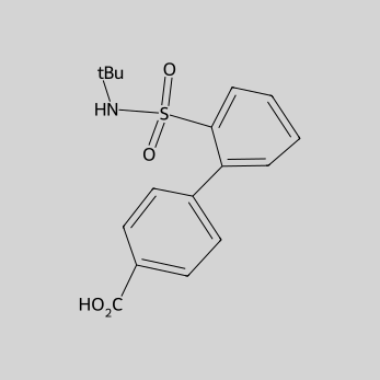 CC(C)(C)NS(=O)(=O)c1ccccc1-c1ccc(C(=O)O)cc1